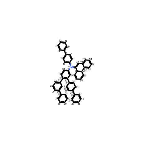 C1=CC2C(N(c3ccc(-c4ccccc4)cc3)c3ccc(-c4cccc(-c5ccccc5)c4)c(-c4ccc(-c5ccccc5)cc4)c3)=Cc3ccccc3C2C=C1